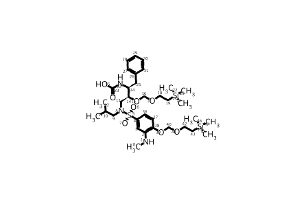 CNc1cc(S(=O)(=O)N(CC(C)C)C[C@H](OCOCC[Si](C)(C)C)[C@H](Cc2ccccc2)NC(=O)O)ccc1OCOCC[Si](C)(C)C